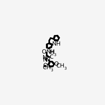 COc1ccc(OC)c(-n2nnc(C(=O)Nc3ccc4c(c3)Nc3ccccc3CC4)c2C)c1